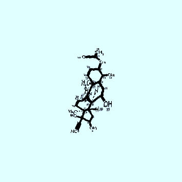 C#CC1(O)C(O)C[C@H]2[C@@H]3C(O)CC4C(O)C(OC(C)=O)CC[C@]4(C)[C@@H]3CC[C@@]21C